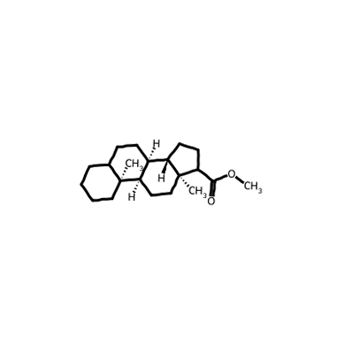 COC(=O)C1CC[C@H]2[C@@H]3CCC4CCCC[C@]4(C)[C@@H]3CC[C@]12C